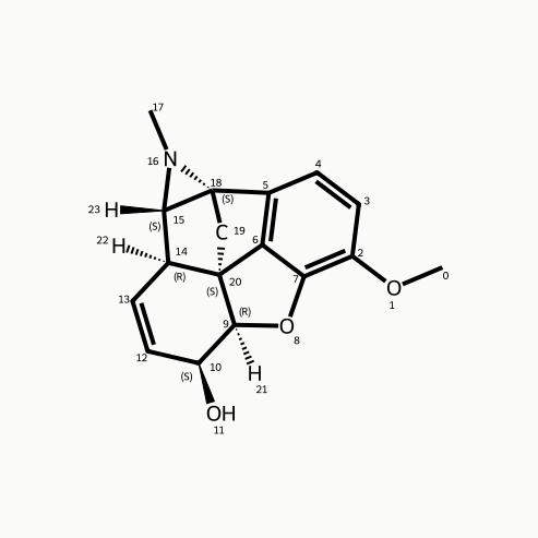 COc1ccc2c3c1O[C@H]1[C@@H](O)C=C[C@H]4[C@@H]5N(C)[C@@]25C[C@@]341